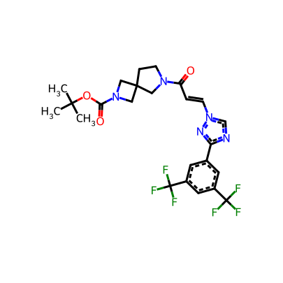 CC(C)(C)OC(=O)N1CC2(CCN(C(=O)C=Cn3cnc(-c4cc(C(F)(F)F)cc(C(F)(F)F)c4)n3)C2)C1